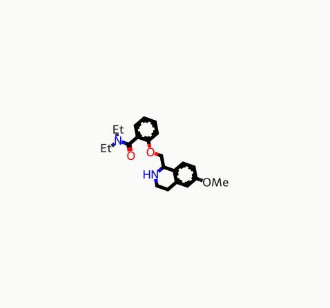 CCN(CC)C(=O)c1ccccc1OCC1NCCc2cc(OC)ccc21